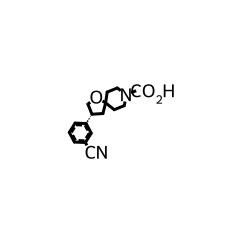 N#Cc1cccc([C@@H]2COC3(CCN(C(=O)O)CC3)C2)c1